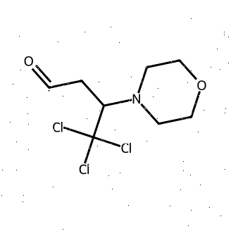 O=[C]CC(N1CCOCC1)C(Cl)(Cl)Cl